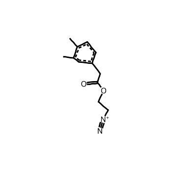 Cc1ccc(CC(=O)OCC[N+]#N)cc1C